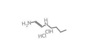 CCCCNC=CN.Cl.Cl